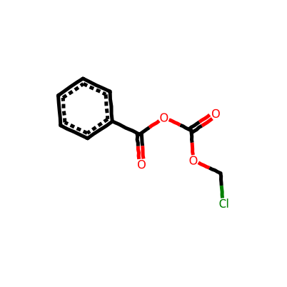 O=C(OCCl)OC(=O)c1ccccc1